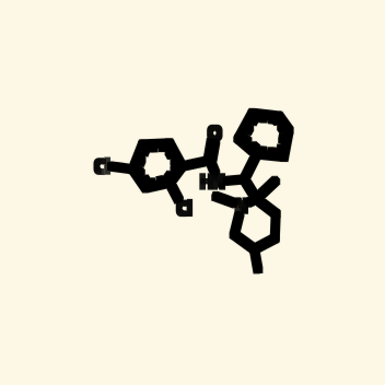 CC1CCC(C)(C(NC(=O)c2ccc(Cl)cc2Cl)c2ccccc2)N(C)C1